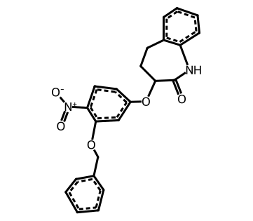 O=C1Nc2ccccc2CCC1Oc1ccc([N+](=O)[O-])c(OCc2ccccc2)c1